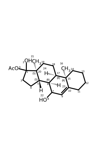 CC(=O)OC1(O)CC[C@H]2[C@@H]3C(O)C=C4CCCC[C@]4(C)[C@@H]3CC[C@@]21C